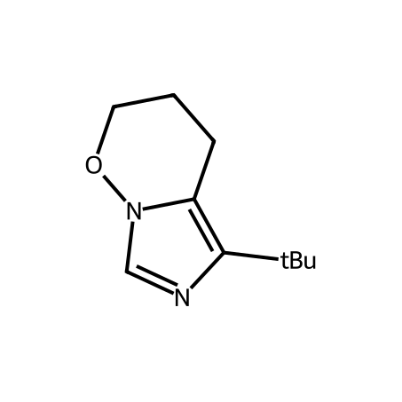 CC(C)(C)c1ncn2c1CCCO2